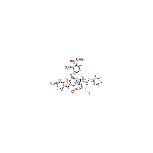 C=CCN1CC(=O)N2[C@@H](Cc3ccc(O)cc3)C(=O)N(Cc3cccc(C(=O)OC)c3[N+](=O)[O-])C[C@@H]2N1C(=O)NCc1ccccc1